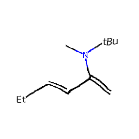 C=C(/C=C/CC)N(C)C(C)(C)C